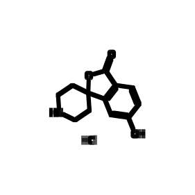 Cl.O=C1OC2(CCNCC2)c2cc(O)ccc21